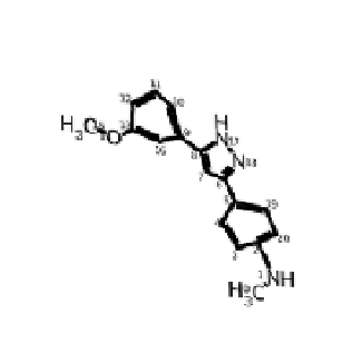 CNc1ccc(-c2cc(-c3cccc(OC)c3)[nH]n2)cc1